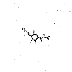 CCO/C=C/c1c(Br)cc(N(C)PC2CC2)c(F)c1C